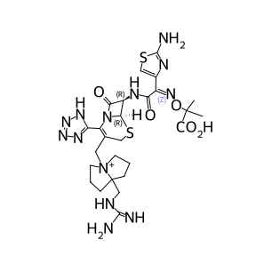 CC(C)(O/N=C(\C(=O)N[C@@H]1C(=O)N2C(c3nnn[nH]3)=C(C[N+]34CCCC3(CNC(=N)N)CCC4)CS[C@H]12)c1csc(N)n1)C(=O)O